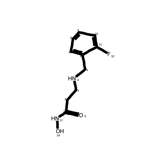 O=C(CCNCc1ccccc1F)NO